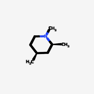 C[C@H]1CCN(C)[C@@H](C)C1